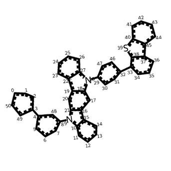 c1ccc(-c2cccc(-n3c4ccccc4c4cc5c(cc43)c3ccccc3n5-c3ccc(-c4cccc5c4sc4ccccc45)cc3)c2)cc1